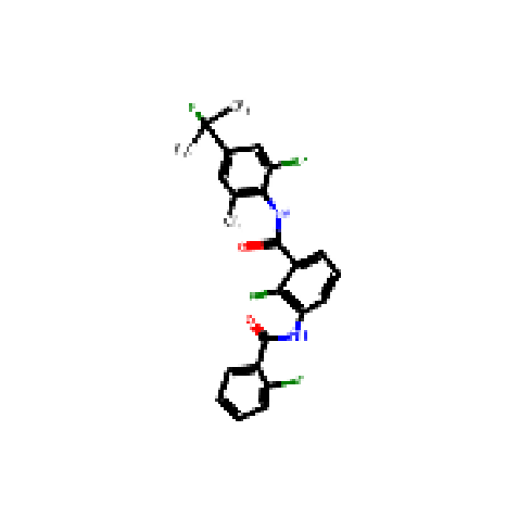 O=C(Nc1cccc(C(=O)Nc2c(Br)cc(C(F)(C(F)(F)F)C(F)(F)F)cc2C(F)(F)F)c1F)c1ccccc1F